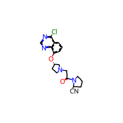 N#C[C@@H]1CCCN1C(=O)CN1CC[C@H](Oc2cccc3c(Cl)ncnc23)C1